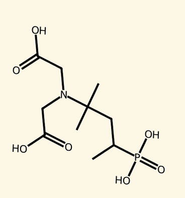 CC(CC(C)(C)N(CC(=O)O)CC(=O)O)P(=O)(O)O